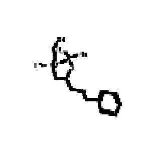 C[C@H](CCO)C[C@H](COCc1ccccc1)O[Si](C)(C)C(C)(C)C